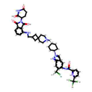 O=C1CCC(N2C(=O)c3cccc(NCC4CC5(CCN(C[C@H]6CC[C@H](n7cc8cc(NC(=O)c9cccc(C(F)(F)F)n9)c(C(F)F)cc8n7)CC6)CC5)C4)c3C2=O)C(=O)N1